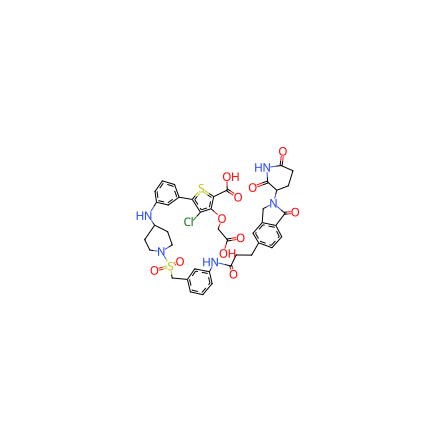 O=C(O)COc1c(C(=O)O)sc(-c2cccc(NC3CCN(S(=O)(=O)Cc4cccc(NC(=O)CCc5ccc6c(c5)CN(C5CCC(=O)NC5=O)C6=O)c4)CC3)c2)c1Cl